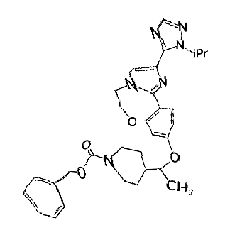 CC(Oc1ccc2c(c1)OCCn1cc(-c3ncnn3C(C)C)nc1-2)C1CCN(C(=O)OCc2ccccc2)CC1